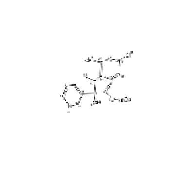 C=C(OCCCC)C(O)(c1cccnc1)C(C)c1ccc(Cl)cc1Cl